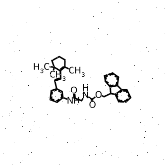 CC1=C(C=Cc2cccc(NC(=O)CNC(=O)OCC3c4ccccc4-c4ccccc43)c2)C(C)(C)CCC1